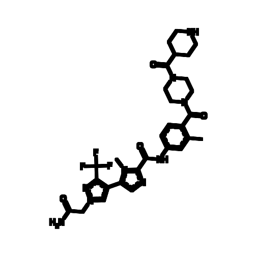 Cc1cc(NC(=O)c2ncc(-c3cn(CC(N)=O)nc3C(F)(F)F)n2C)ccc1C(=O)N1CCN(C(=O)C2CCNCC2)CC1